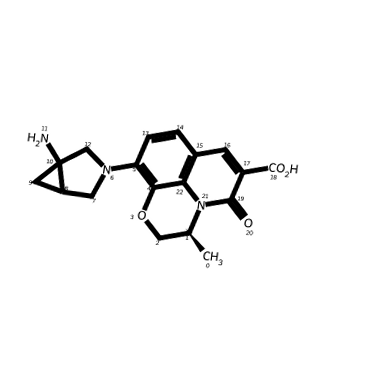 C[C@H]1COc2c(N3CC4CC4(N)C3)ccc3cc(C(=O)O)c(=O)n1c23